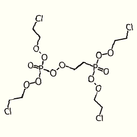 O=P(CCOOP(=O)(OOCCCl)OOCCCl)(OOCCCl)OOCCCl